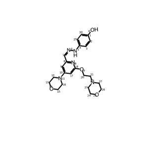 Oc1ccc(N/N=C\c2cc(N3CCOCC3)cc(OCCN3CCOCC3)n2)cc1